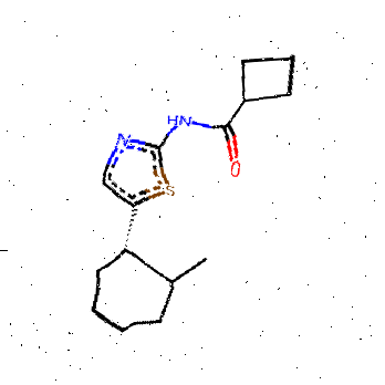 CC1CCCC[C@@H]1c1cnc(NC(=O)C2CCC2)s1